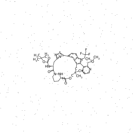 CO[C@@H](C)c1ncccc1-c1c2c3cc(ccc3n1CC(F)(F)F)-c1nc(ns1)C[C@H](NC(=O)OC(C)(C)C)C(=O)N1CCC[C@H](N1)C(=O)OCC(C)(C)C2